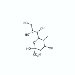 CC1C(O)CC(O)(C(=O)O)OC1C(O)[C@H](O)CO